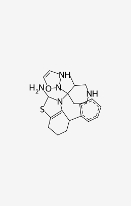 CC1CNCCC1(N1NC=CO1)N1C2=C(CCCC2c2ccccc2)SC1N